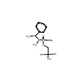 CCCC(C)(CCC)COP(=O)(N(C)[C@@H](C)c1ccccc1)C(C)(C)C